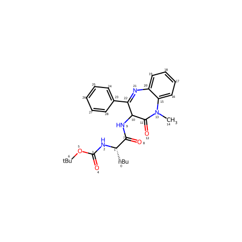 CCCC[C@H](NC(=O)OC(C)(C)C)C(=O)NC1C(=O)N(C)c2ccccc2N=C1c1ccccc1